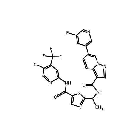 CC(NC(=O)c1cnn2cc(-c3cncc(F)c3)ccc12)c1ncc(C(=O)Nc2cc(C(F)(F)F)c(Cl)cn2)s1